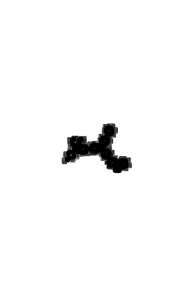 C=C/C=C\C(=C/C)n1c(/C=C\C)c(C=C)c2cc(-c3ccc(N(c4ccc(-c5ccccc5)cc4)c4ccc(-c5ccc6oc7ccccc7c6c5)cc4)cc3)ccc21